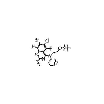 CSc1nc(N(CCO[Si](C)(C)C(C)(C)C)C2CCCOC2)c2c(F)c(Cl)c(Br)c(F)c2n1